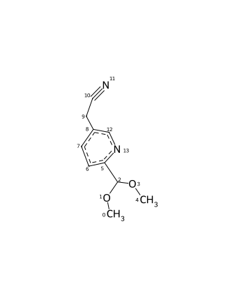 COC(OC)c1ccc(CC#N)cn1